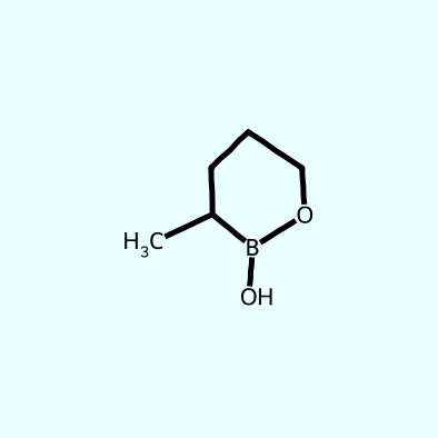 CC1CCCOB1O